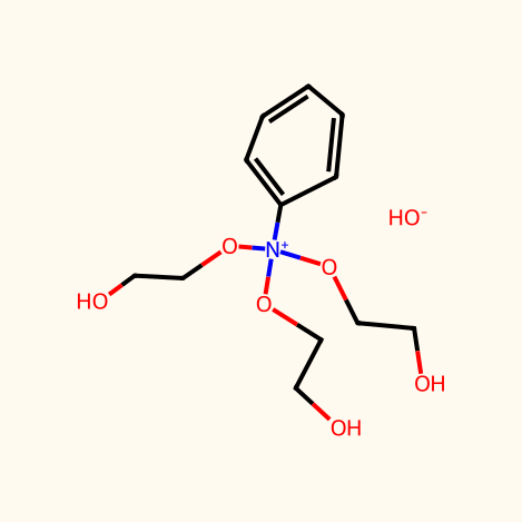 OCCO[N+](OCCO)(OCCO)c1ccccc1.[OH-]